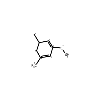 CC1C=C(SS)C=C(C(F)(F)F)C1